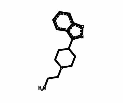 NCCN1CCC(c2noc3ccccc23)CC1